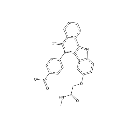 CNC(=O)COc1ccc2nc3c4ccccc4c(=O)n(-c4ccc([N+](=O)[O-])cc4)c3n2c1